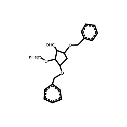 CCCCCCCOC1C(OCc2ccccc2)CC(OCc2ccccc2)C1C=O